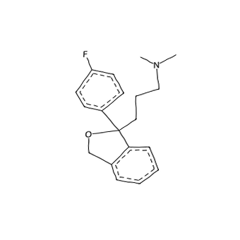 CN(C)CCCC1(c2ccc(F)cc2)OCc2ccccc21